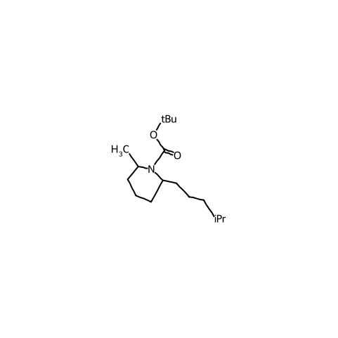 CC(C)CCCC1CCCC(C)N1C(=O)OC(C)(C)C